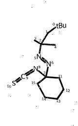 CC(C)(C)CC(C)(C)/N=N/C1(N=C=S)CCCCC1